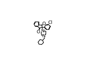 O=C1c2ccccc2C(=O)C1(c1cccc(Cl)c1)N1CCN(CC2CCCCC2)CC1